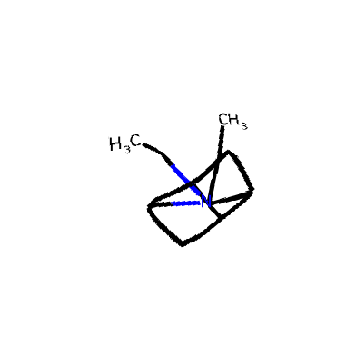 CC1C2CC3C2CC3N1C